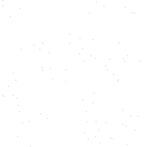 COC1=CC(=O)N(CCCCCC(=O)O)S1(O)O